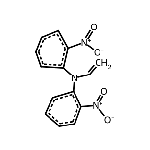 C=CN(c1ccccc1[N+](=O)[O-])c1ccccc1[N+](=O)[O-]